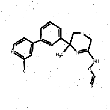 CC1(c2cccc(-c3ccnc(Cl)c3)c2)COCC(NOC=O)=N1